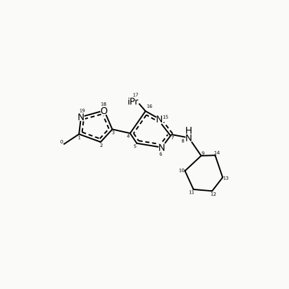 Cc1cc(-c2cnc(NC3CCCCC3)nc2C(C)C)on1